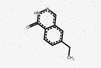 CCc1ccc2c(=O)[nH]ncc2c1